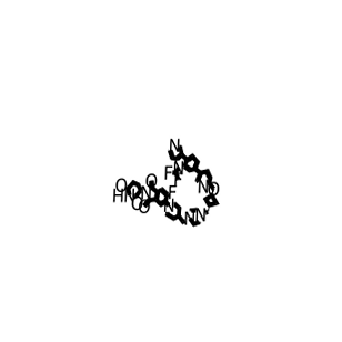 O=C1CCC(N2C(=O)c3cc(F)c(N4CCC(CN5CCN(C[C@H]6C[C@H](Oc7ccc(-c8ccc9c%10cnccc%10n(C(F)F)c9c8)cn7)C6)CC5)CC4)cc3C2=O)C(=O)N1